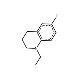 CCN1CCCc2cc(F)ccc21